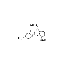 C=C(Cc1c(OC)cccc1OCOC)[C@H]1CC=C(C)CC1